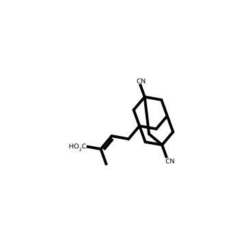 CC(=CCC12CC3CC(C#N)(CC(C#N)(C3)C1)C2)C(=O)O